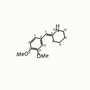 COc1ccc(C=C2CCCCN2)cc1OC